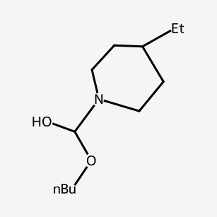 CCCCOC(O)N1CCC(CC)CC1